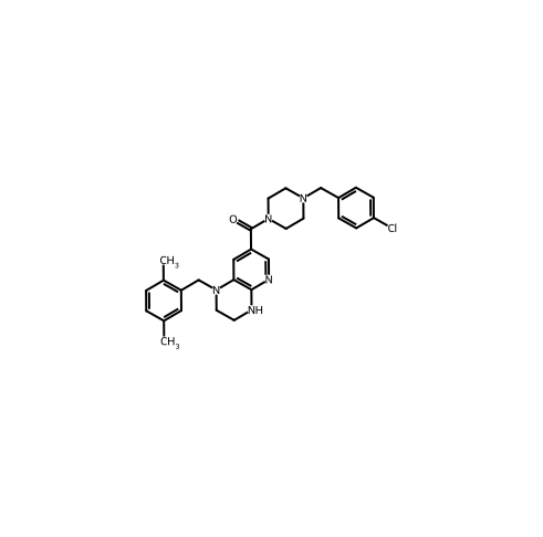 Cc1ccc(C)c(CN2CCNc3ncc(C(=O)N4CCN(Cc5ccc(Cl)cc5)CC4)cc32)c1